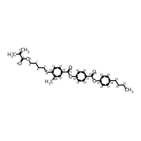 C=C(C)C(=O)OCCCCSc1ccc(C(=O)Oc2ccc(C(=O)Oc3ccc(CCCC)cc3)cc2)cc1C